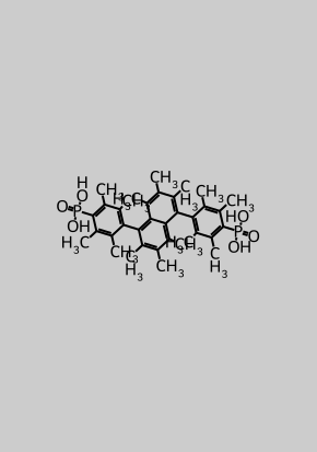 Cc1c(C)c(P(=O)(O)O)c(C)c(C)c1-c1c(C)c(C)c(C)c2c(-c3c(C)c(C)c(P(=O)(O)O)c(C)c3C)c(C)c(C)c(C)c12